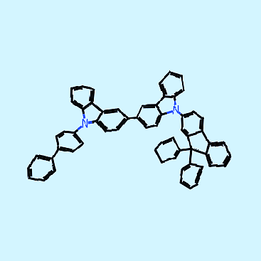 C1=CC(C2(c3ccccc3)c3ccccc3-c3ccc(-n4c5ccccc5c5cc(-c6ccc7c(c6)c6ccccc6n7-c6ccc(-c7ccccc7)cc6)ccc54)cc32)=CCC1